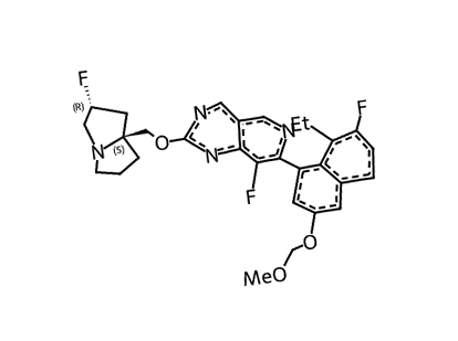 CCc1c(F)ccc2cc(OCOC)cc(-c3ncc4cnc(OC[C@@]56CCCN5C[C@H](F)C6)nc4c3F)c12